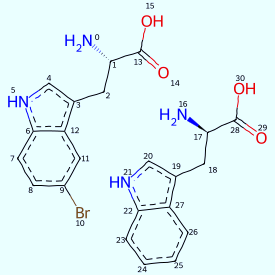 N[C@@H](Cc1c[nH]c2ccc(Br)cc12)C(=O)O.N[C@H](Cc1c[nH]c2ccccc12)C(=O)O